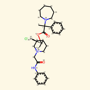 CC(C(=O)O[C@H]1C[N+]2(CC(=O)Nc3ccccc3)CCC1CC2)(c1ccccc1)N1CCCCCC1.[Cl-]